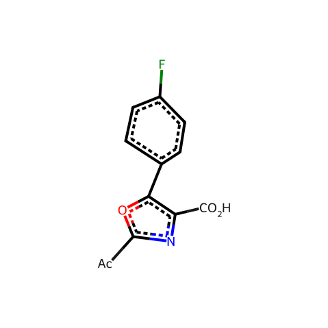 CC(=O)c1nc(C(=O)O)c(-c2ccc(F)cc2)o1